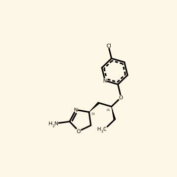 CC[C@@H](C[C@H]1COC(N)=N1)Oc1ccc(Cl)cn1